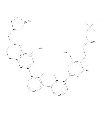 COc1cc(-c2nccc(-c3cccc(-c4cc(Cl)c(CNC(=O)OC(C)(C)C)c(OC)n4)c3Cl)c2Cl)cc2c1CN(CC1CCC(=O)N1)CC2